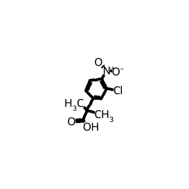 CC(C)(C(=O)O)c1ccc([N+](=O)[O-])c(Cl)c1